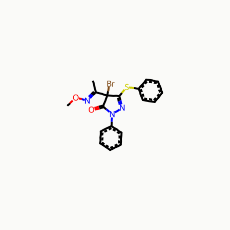 CON=C(C)C1(Br)C(=O)N(c2ccccc2)N=C1Sc1ccccc1